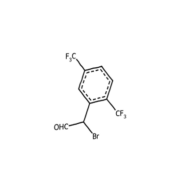 O=CC(Br)c1cc(C(F)(F)F)ccc1C(F)(F)F